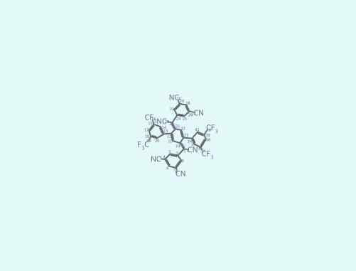 N#C/C(c1cc(C#N)cc(C#N)c1)=c1/cc(-c2cc(C(F)(F)F)cc(C(F)(F)F)c2)/c(=C(\C#N)c2cc(C#N)cc(C#N)c2)cc1-c1cc(C(F)(F)F)cc(C(F)(F)F)c1